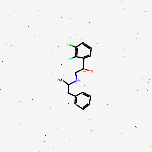 CC(Cc1ccccc1)NC[C@H](O)c1cccc(Cl)c1F